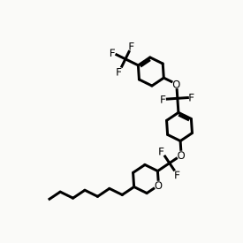 CCCCCCCC1CCC(C(F)(F)OC2CC=C(C(F)(F)OC3CC=C(C(F)(F)F)CC3)CC2)OC1